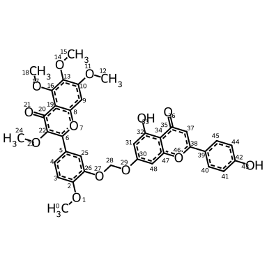 COc1ccc(-c2oc3cc(OC)c(OC)c(OC)c3c(=O)c2OC)cc1OCOc1cc(O)c2c(=O)cc(-c3ccc(O)cc3)oc2c1